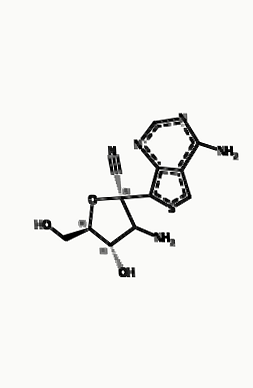 N#C[C@@]1(c2scc3c(N)ncnc23)O[C@H](CO)[C@@H](O)C1N